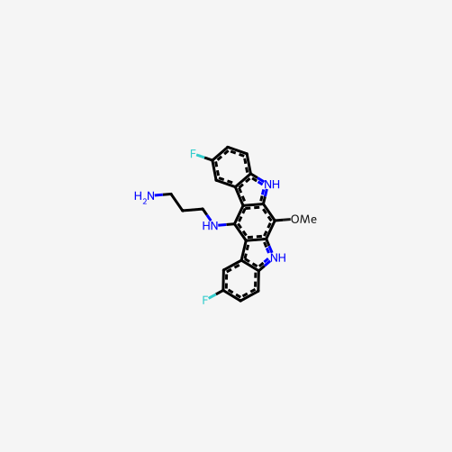 COc1c2[nH]c3ccc(F)cc3c2c(NCCCN)c2c1[nH]c1ccc(F)cc12